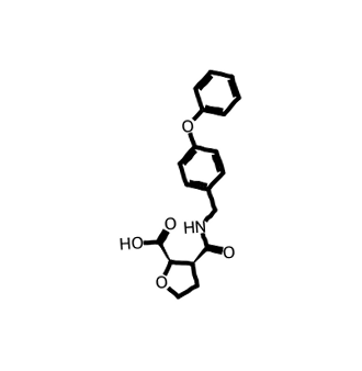 O=C(NCc1ccc(Oc2ccccc2)cc1)[C@H]1CCO[C@H]1C(=O)O